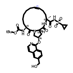 CC(C)(C)OC(=O)N[C@H]1CCCCC/C=C\CC[C@@](C)(C(=O)NS(=O)(=O)C2CC2)NC(=O)[C@@H]2C[C@@H](Oc3nccc4cc(CO)ccc34)CN2C1=O